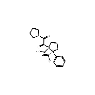 CC[N+]1(C(=O)C(=O)C2CCCC2)CCC[C@@]1(C([O-])=S)c1ccccc1